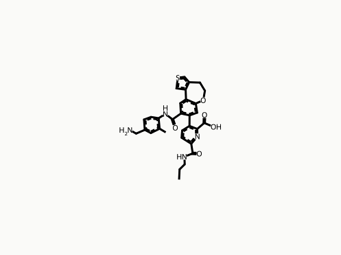 CCCNC(=O)c1ccc(-c2cc3c(cc2C(=O)Nc2ccc(CN)cc2C)-c2cscc2CCO3)c(C(=O)O)n1